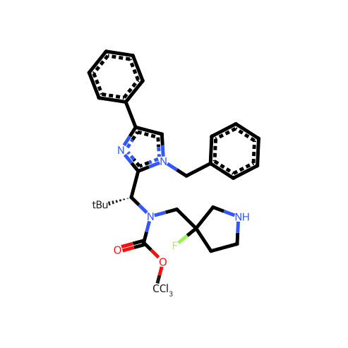 CC(C)(C)[C@H](c1nc(-c2ccccc2)cn1Cc1ccccc1)N(CC1(F)CCNC1)C(=O)OC(Cl)(Cl)Cl